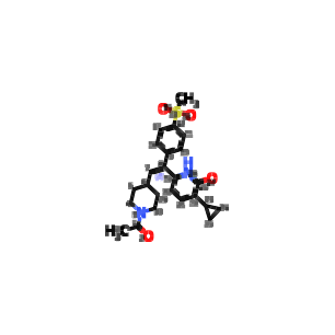 CC(=O)N1CCC(/C=C(/c2ccc(S(C)(=O)=O)cc2)c2ccc(C3CC3)c(=O)[nH]2)CC1